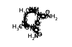 CCn1nc(C)c2c1C(=O)Nc1nc3cc(C(N)=O)ccc3n1C1CCC(CC1)n1c(nc3cc(C(N)=O)ccc31)NC(=O)c1cc(C)nn1CCCCC2